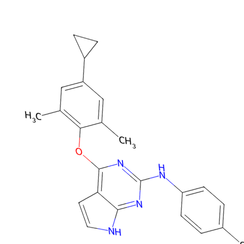 Cc1cc(C2CC2)cc(C)c1Oc1nc(Nc2ccc(C#N)cc2)nc2[nH]ccc12